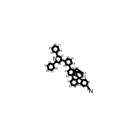 N#Cc1ccc2c(c1)-c1cccc(-c3ccc(-c4cccc(-c5cc(-c6ccccc6)nc(-c6ccccc6)c5)c4)cc3)c1C21C2CC3CC(C2)CC1C3